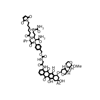 CO[C@H]1OCCN2[C@@H]1O[C@@H]1CO[C@@H](O[C@H]3C[C@](O)(C(C)=O)Cc4c(O)c5c(c(O)c43)C(=O)c3c(NC(=O)CNC(=O)OCc4ccc(N(C(=O)[C@@H](NC(=O)CCCCCN6C(=O)C=CC6=O)C(C)C)[C@@H](CCCNC(N)=O)C(N)=O)cc4)cccc3C5=O)C[C@@H]12